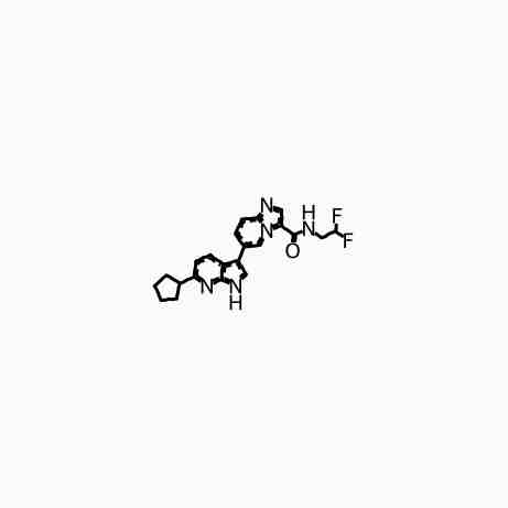 O=C(NCC(F)F)c1cnc2ccc(-c3c[nH]c4nc(C5CCCC5)ccc34)cn12